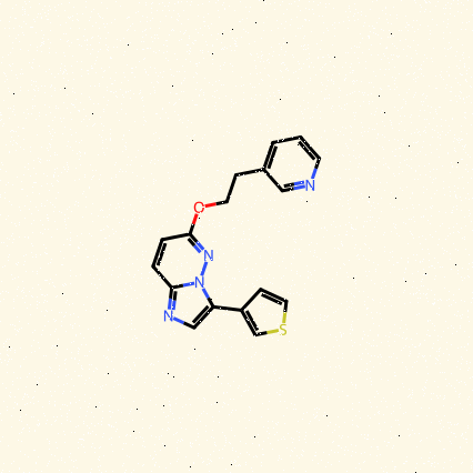 c1cncc(CCOc2ccc3ncc(-c4ccsc4)n3n2)c1